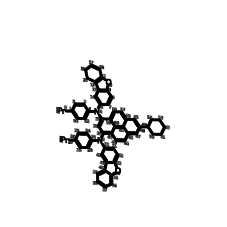 CC(C)c1ccc(N(c2ccc3oc4c(c3c2)CCC=C4)c2cc(N(c3ccc(C(C)C)cc3)c3ccc4oc5ccccc5c4c3)c3ccc4cc(C5CCCCC5)cc5ccc2c3c54)cc1